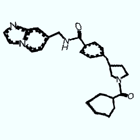 O=C(NCc1ccn2ccnc2c1)c1ccc(C2CCN(C(=O)C3CCCCC3)C2)cc1